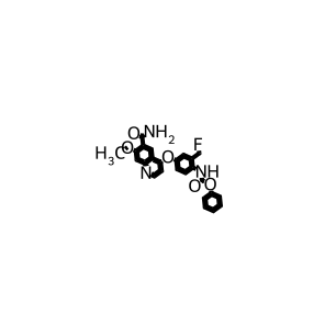 COc1cc2nccc(Oc3ccc(NC(=O)Oc4ccccc4)c(CF)c3)c2cc1C(N)=O